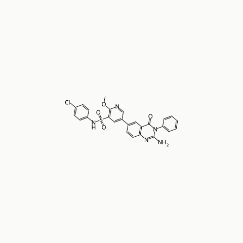 COc1ncc(-c2ccc3nc(N)n(-c4ccccc4)c(=O)c3c2)cc1S(=O)(=O)Nc1ccc(Cl)cc1